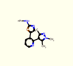 CCCNc1ncc(-c2cccnc2-c2c(C)nn(C)c2C)s1